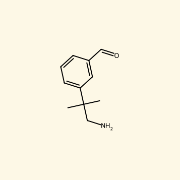 CC(C)(CN)c1cccc(C=O)c1